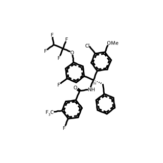 COc1ccc([C@@](Cc2ccccc2)(NC(=O)c2ccc(F)c(C(F)(F)F)c2)c2cc(F)cc(OC(F)(F)C(F)F)c2)cc1Cl